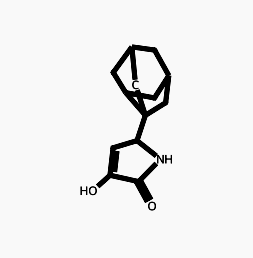 O=C1NC(C23CC4CC(CC2C4)C3)C=C1O